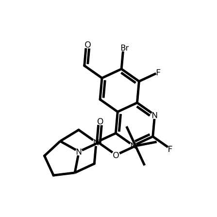 CC(C)(C)OC(=O)N1C2CCC1CN(c1nc(F)nc3c(F)c(Br)c(C=O)cc13)C2